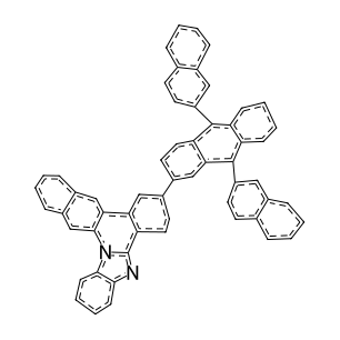 c1ccc2cc(-c3c4ccccc4c(-c4ccc5ccccc5c4)c4cc(-c5ccc6c(c5)c5cc7ccccc7cc5n5c7ccccc7nc65)ccc34)ccc2c1